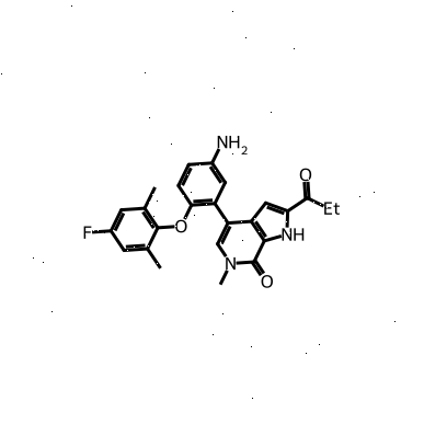 CCC(=O)c1cc2c(-c3cc(N)ccc3Oc3c(C)cc(F)cc3C)cn(C)c(=O)c2[nH]1